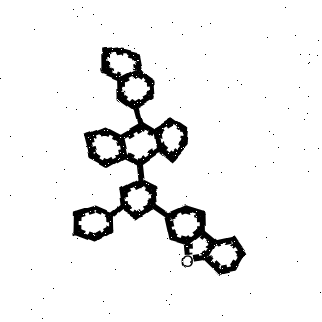 c1ccc(-c2cc(-c3ccc4c(c3)oc3ccccc34)cc(-c3c4ccccc4c(-c4ccc5ccccc5c4)c4ccccc34)c2)cc1